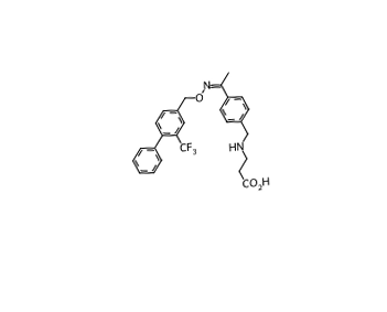 CC(=NOCc1ccc(-c2ccccc2)c(C(F)(F)F)c1)c1ccc(CNCCC(=O)O)cc1